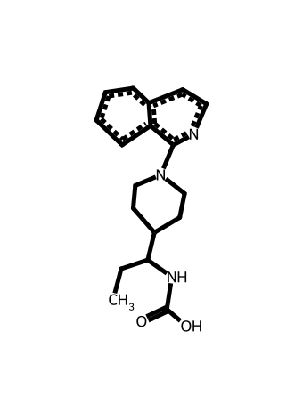 CCC(NC(=O)O)C1CCN(c2nccc3ccccc23)CC1